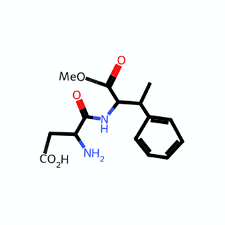 COC(=O)C(NC(=O)C(N)CC(=O)O)C(C)c1ccccc1